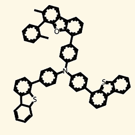 Cc1ccccc1-c1c(C)ccc2c1oc1c(-c3ccc(N(c4ccc(-c5cccc6c5SC5C=CC=CC65)cc4)c4ccc(-c5cccc6c5sc5ccccc56)cc4)cc3)cccc12